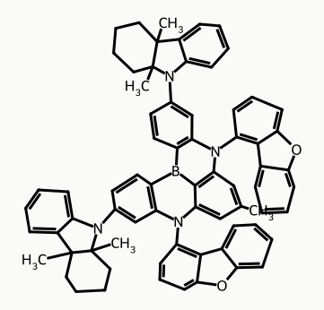 Cc1cc2c3c(c1)N(c1cccc4oc5ccccc5c14)c1cc(N4c5ccccc5C5(C)CCCCC45C)ccc1B3c1ccc(N3c4ccccc4C4(C)CCCCC34C)cc1N2c1cccc2oc3ccccc3c12